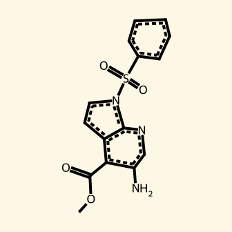 COC(=O)c1c(N)cnc2c1ccn2S(=O)(=O)c1ccccc1